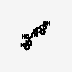 O=C(O)CC(Cn1cnc(C=CC(O)c2ccc3c(n2)NCCC3)c1)c1ccccc1